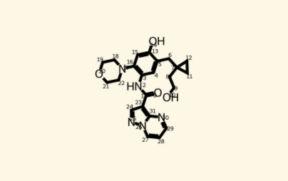 O=C(Nc1cc(CC2(CCO)CC2)c(O)cc1N1CCOCC1)c1cnn2cccnc12